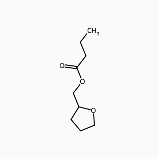 CCCC(=O)OCC1CCCO1